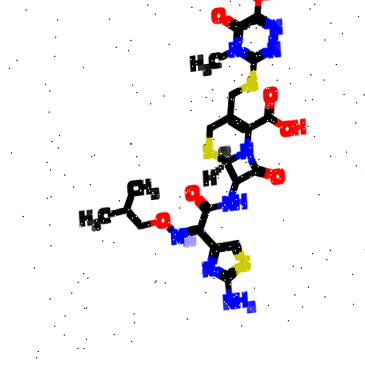 CC(C)CO/N=C(\C(=O)NC1C(=O)N2C(C(=O)O)=C(CSc3nnc(O)c(=O)n3C)CS[C@H]12)c1csc(N)n1